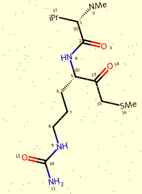 CN[C@H](C(=O)N[C@@H](CCCNC(N)=O)C(=O)CSC)C(C)C